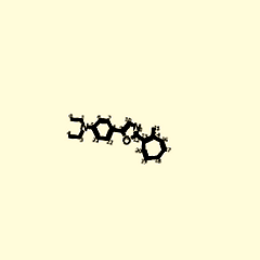 CCN(CC)c1ccc(-c2cnc(C3=C(C)C=CCC=C3)o2)cc1